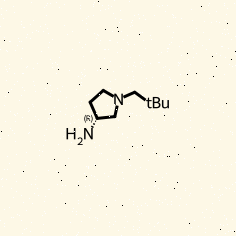 CC(C)(C)CN1CC[C@@H](N)C1